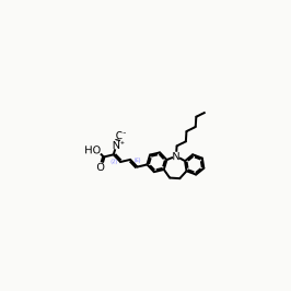 [C-]#[N+]/C(=C\C=C\c1ccc2c(c1)CCc1ccccc1N2CCCCCC)C(=O)O